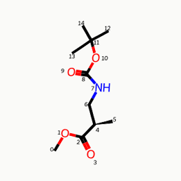 COC(=O)[C@H](C)CNC(=O)OC(C)(C)C